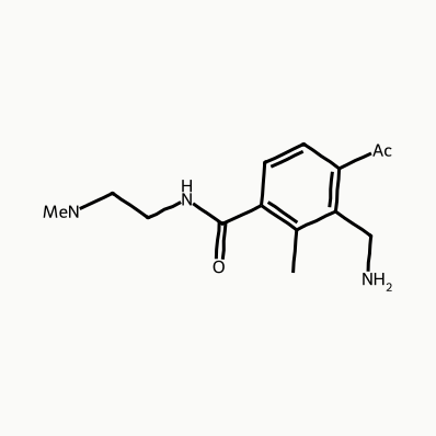 CNCCNC(=O)c1ccc(C(C)=O)c(CN)c1C